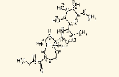 CCNC(=O)N1CCO[C@@H]2[C@H](CN[C@@H]2C(=O)N[C@H]([C@H](C)Cl)[C@H]2OC(SC)[C@H](O)C(O)C2O)C1